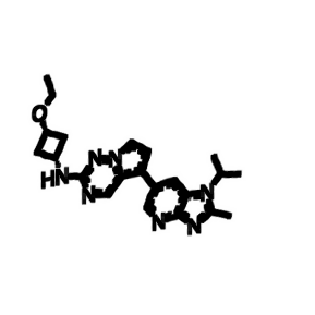 CCO[C@H]1C[C@H](Nc2ncc3c(-c4cnc5nc(C)n(C(C)C)c5c4)ccn3n2)C1